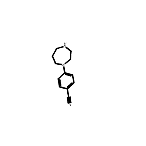 N#Cc1ccc(N2CCCNCC2)cc1